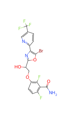 NC(=O)c1c(F)ccc(OCC(O)c2nc(-c3ccc(C(F)(F)F)cn3)c(Br)o2)c1F